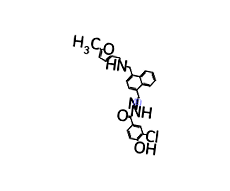 Cc1ccc(CNCc2ccc(/C=N/NC(=O)c3ccc(O)c(Cl)c3)c3ccccc23)o1